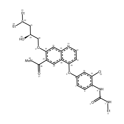 CCNC(=O)Nc1ccc(Oc2ccnc3cc(OC[C@@H](O)CN(CC)CC)c(C(=O)NC)cc23)cc1Cl